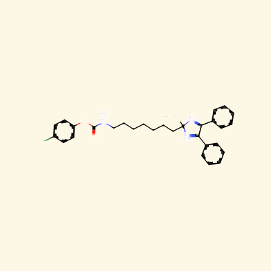 CC1(CCCCCCCNC(=O)Oc2ccc(Cl)cc2)N=C(c2ccccc2)C(c2ccccc2)=N1